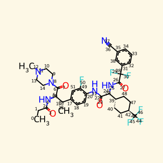 CCC(=O)N[C@@H](C(=O)N1CCN(C)CC1)[C@@H](C)c1ccc(NC(=O)[C@@H](NC(=O)C(F)(F)c2cccc(C#N)c2)[C@H]2CC[C@H](C(F)(F)F)CC2)c(F)c1